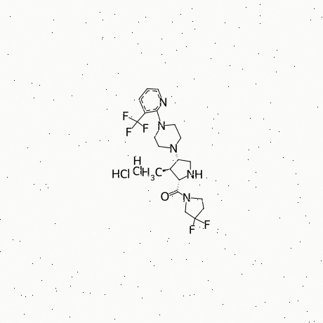 C[C@@H]1[C@@H](C(=O)N2CCC(F)(F)C2)NC[C@H]1N1CCN(c2ncccc2C(F)(F)F)CC1.Cl.Cl